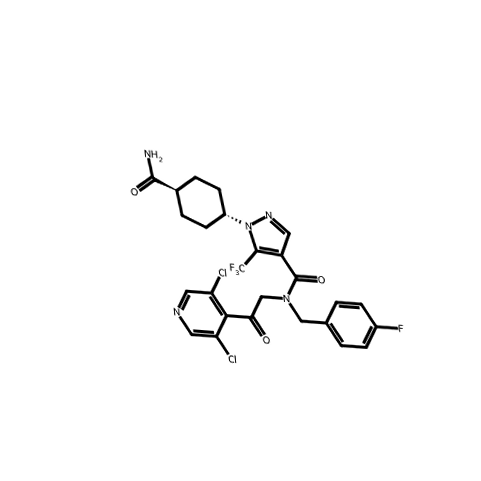 NC(=O)[C@H]1CC[C@H](n2ncc(C(=O)N(CC(=O)c3c(Cl)cncc3Cl)Cc3ccc(F)cc3)c2C(F)(F)F)CC1